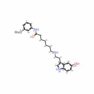 COc1cccc(NC(=O)CCCCCCNCCc2c[nH]c3ccc(O)cc23)c1